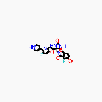 COc1ccc2c(c1F)C(=O)N(C[C@@]1(c3cc4nc(C5=CCNCC5)c(F)cc4o3)NC(=O)NC1=O)C2